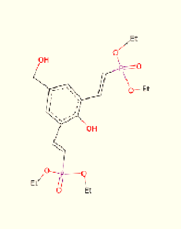 CCOP(=O)(/C=C/c1cc(CO)cc(/C=C/P(=O)(OCC)OCC)c1O)OCC